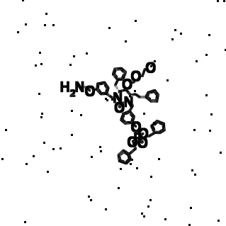 COCCOCO[C@@H]1[C@@H](CCc2ccccc2)N(Cc2cccc(OCP(=O)(OCc3ccccc3)OCc3ccccc3)c2)C(=O)N(Cc2cccc(OCN)c2)[C@@H]1Cc1ccccc1